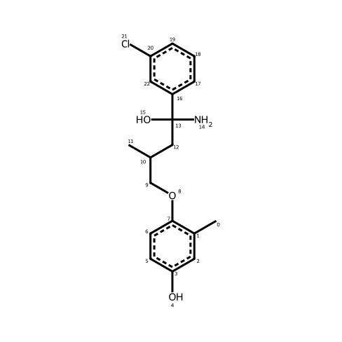 Cc1cc(O)ccc1OCC(C)CC(N)(O)c1cccc(Cl)c1